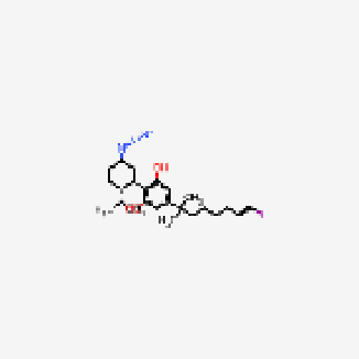 CC(C)[C@@H]1CC[C@@H](N=[N+]=[N-])C[C@H]1c1c(O)cc(C(C)(C)CCCCC=CI)cc1O